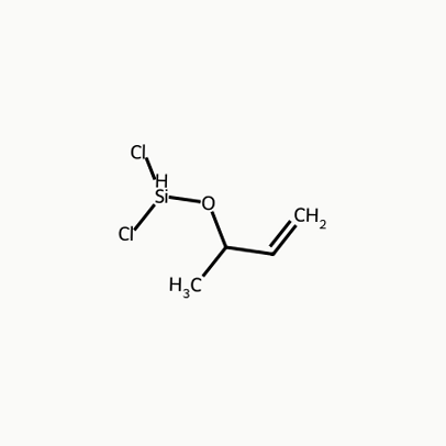 C=CC(C)O[SiH](Cl)Cl